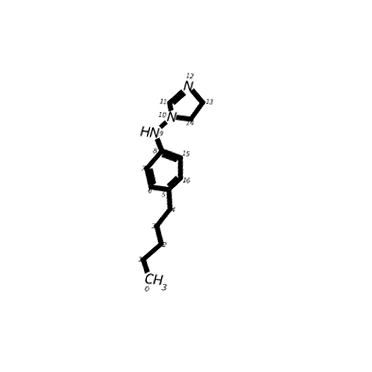 CCCCCc1ccc(NN2C=NCC2)cc1